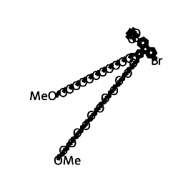 COCCOCCOCCOCCOCCOCCOCCOCCOCCOCCOCCOCCCC1(CCCOCOCOCOCOCOCOCOCOCOCOCCOC)c2cc(Br)ccc2-c2ccc(B3OC(C)(C)C(C)(C)O3)cc21